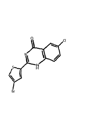 O=c1nc(-c2cc(Br)cs2)[nH]c2ccc(Cl)cc12